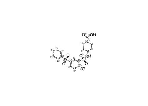 O=C(O)N1CCC(NS(=O)(=O)c2cc(S(=O)(=O)c3ccccc3)ccc2Cl)CC1